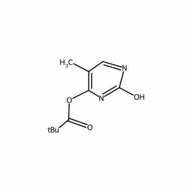 Cc1cnc(O)nc1OC(=O)C(C)(C)C